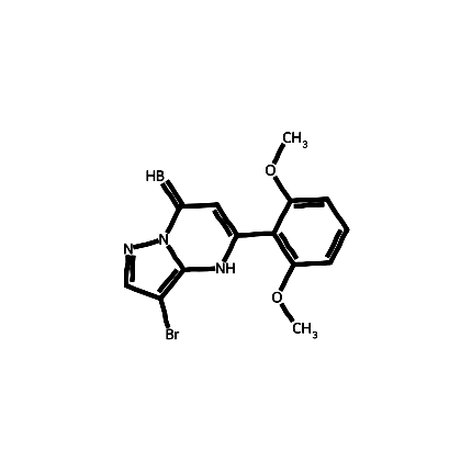 B=C1C=C(c2c(OC)cccc2OC)Nc2c(Br)cnn21